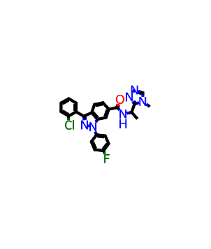 CC(NC(=O)c1ccc2c(-c3ccccc3Cl)nn(-c3ccc(F)cc3)c2c1)c1nncn1C